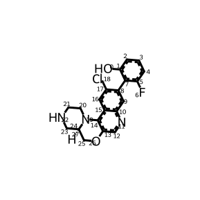 Oc1cccc(F)c1-c1cc2ncc3c(c2cc1Cl)N1CCNC[C@@H]1CO3